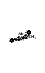 COc1ccccc1C(C)N1CCN(C(=O)CN2CCN(CCc3ccccc3)CC2)CC1